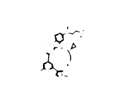 Cc1cc2cc(n1)-c1cnn(C)c1OCCC[C@@H](C1CC1)CN1/C(=N/C2=O)Nc2ccc(N(C)[C@@H](C)CN(C)C)cc21